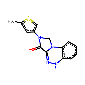 Cc1cc(N2CN3C(=NNc4ccccc43)C2=O)cs1